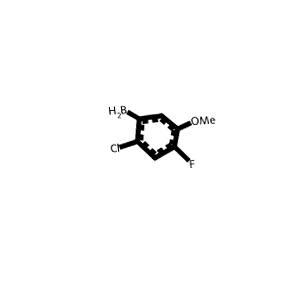 Bc1cc(OC)c(F)cc1Cl